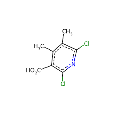 Cc1c(Cl)nc(Cl)c(C(=O)O)c1C